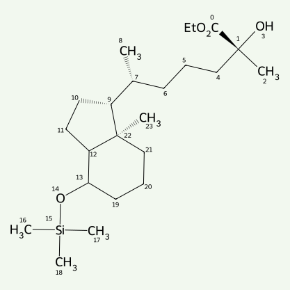 CCOC(=O)[C@](C)(O)CCC[C@@H](C)[C@H]1CCC2C(O[Si](C)(C)C)CCC[C@@]21C